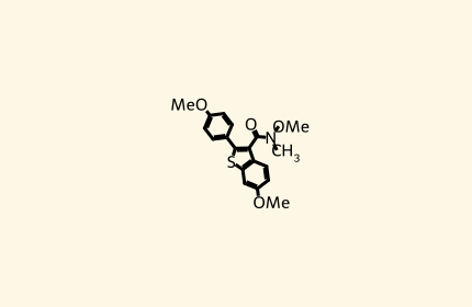 COc1ccc(-c2sc3cc(OC)ccc3c2C(=O)N(C)OC)cc1